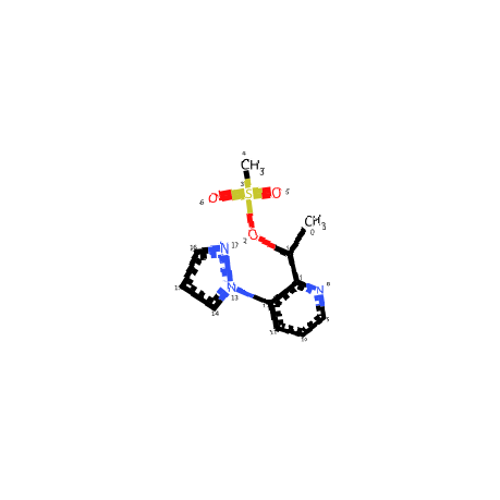 CC(OS(C)(=O)=O)c1ncccc1-n1cccn1